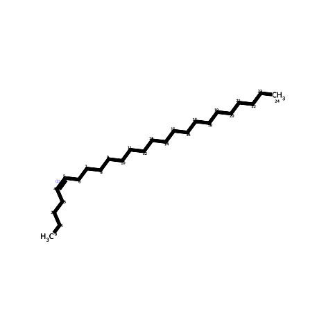 CCCC/C=C\CCCCCCCCCCCCCCCCCCC